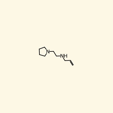 C=CCNCCN1CCCC1